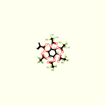 C=C(C)C(=O)OC1C(OC(=O)C(F)(F)F)C(OC(=O)C(F)(F)F)C(OC(=O)C(F)(F)F)C(OC(=O)C(F)(F)F)C1OC(=O)C(F)(F)F